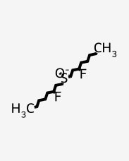 CCCCCC(F)CC[S+]([O-])CCC(F)CCCCC